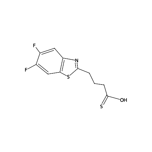 OC(=S)CCCc1nc2cc(F)c(F)cc2s1